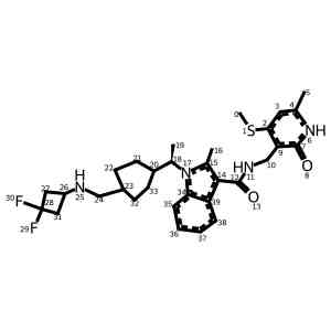 CSc1cc(C)[nH]c(=O)c1CNC(=O)c1c(C)n([C@H](C)C2CCC(CNC3CC(F)(F)C3)CC2)c2ccccc12